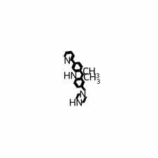 CC1(C)c2ccc(-c3ccccn3)cc2Nc2ccc(CN3CCNCC3)cc21